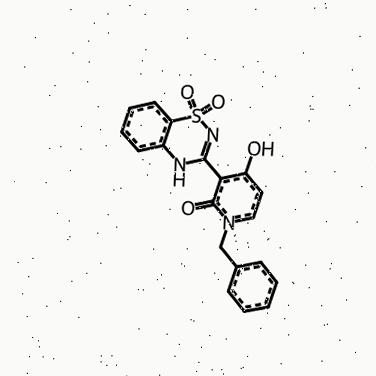 O=c1c(C2=NS(=O)(=O)c3ccccc3N2)c(O)ccn1Cc1ccccc1